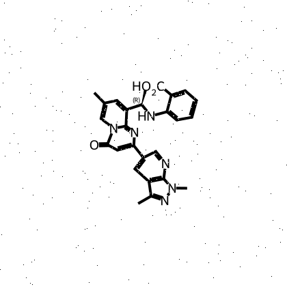 Cc1cc([C@@H](C)Nc2ccccc2C(=O)O)c2nc(-c3cnc4c(c3)c(C)nn4C)cc(=O)n2c1